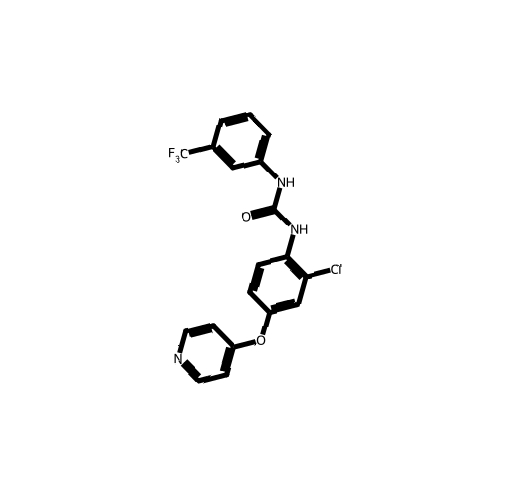 O=C(Nc1cccc(C(F)(F)F)c1)Nc1ccc(Oc2ccncc2)cc1Cl